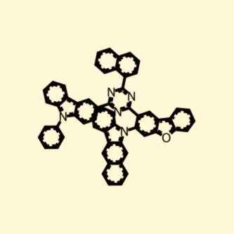 c1ccc(-n2c3ccccc3c3cc(-c4nc(-c5cc6c(cc5-n5c7ccccc7c7cc8ccccc8cc75)oc5ccccc56)nc(-c5cccc6ccccc56)n4)ccc32)cc1